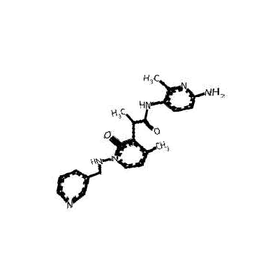 Cc1ccn(NCc2cccnc2)c(=O)c1C(C)C(=O)Nc1ccc(N)nc1C